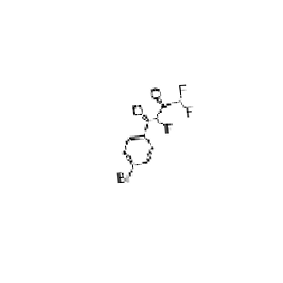 O=C(c1ccc(Br)cc1)C(F)C(=O)C(F)F